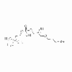 CCCCCCCCCCCCCOC[C@H](O)COP(=O)(O)OCC[N+](C)(C)C